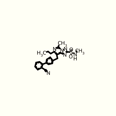 CCCc1nc(C)n2nc(S(=O)(=O)NC)nc2c1Cc1ccc(-c2ccccc2C#N)cc1